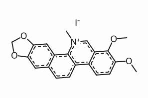 COc1ccc2c(c[n+](C)c3c4cc5c(cc4ccc23)OCO5)c1OC.[I-]